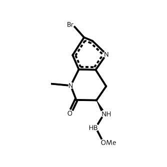 COBN[C@@H]1Cc2ncc(Br)cc2N(C)C1=O